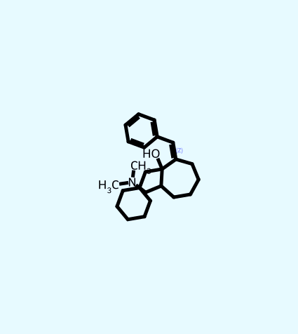 CN(C)CC1CCCC/C(=C/c2ccccc2)C1(O)CC1CCCCC1